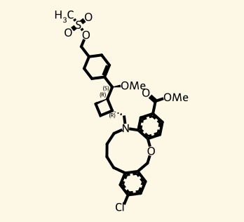 COC(=O)c1ccc2c(c1)N(C[C@@H]1CC[C@H]1[C@H](OC)C1=CCC(COS(C)(=O)=O)CC1)CCCCc1cc(Cl)ccc1CO2